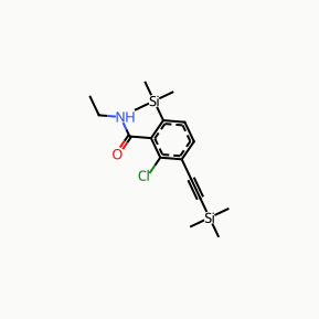 CCNC(=O)c1c([Si](C)(C)C)ccc(C#C[Si](C)(C)C)c1Cl